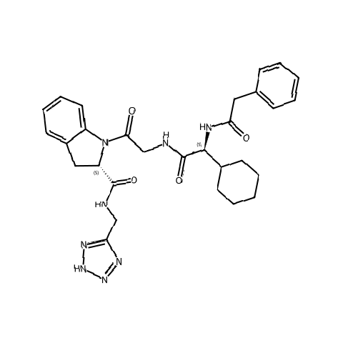 O=C(Cc1ccccc1)N[C@H](C(=O)NCC(=O)N1c2ccccc2C[C@H]1C(=O)NCc1nn[nH]n1)C1CCCCC1